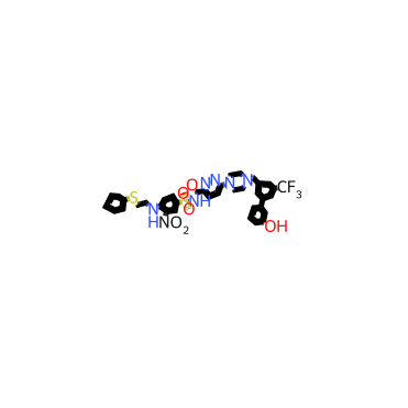 O=C(NS(=O)(=O)c1ccc(NCCSc2ccccc2)c([N+](=O)[O-])c1)c1ccc(N2CCN(Cc3cc(-c4cccc(O)c4)cc(C(F)(F)F)c3)CC2)nn1